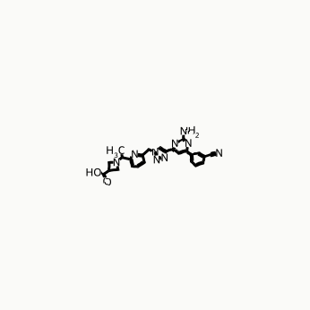 CC(c1cccc(Cn2cc(-c3cc(-c4cccc(C#N)c4)nc(N)n3)nn2)n1)N1CC(C(=O)O)C1